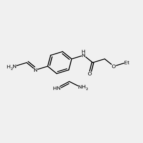 CCOCC(=O)Nc1ccc(N=CN)cc1.N=CN